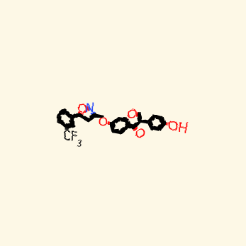 O=c1c(-c2ccc(O)cc2)coc2cc(OCc3cc(-c4cccc(C(F)(F)F)c4)on3)ccc12